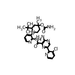 CC1(OC(N)=O)CCN(c2cccnc2NC(=O)c2nc(-c3ncccc3Cl)cnc2N)C(C(C)(C)C)C1